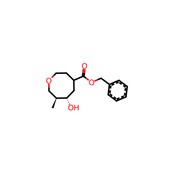 C[C@H]1COCCC(C(=O)OCc2ccccc2)C[C@@H]1O